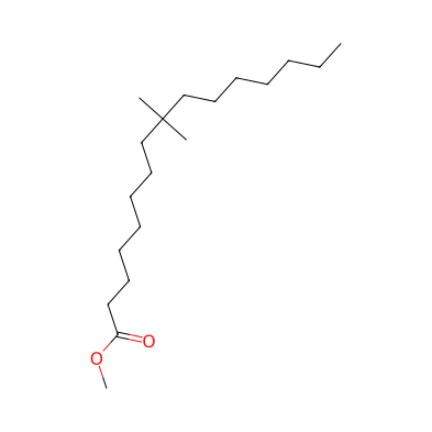 CCCCCCCC(C)(C)CCCCCCCC(=O)OC